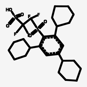 O=S(=O)(O)C(F)(F)C(F)(F)S(=O)(=O)c1c(C2CCCCC2)cc(C2CCCCC2)cc1C1CCCCC1